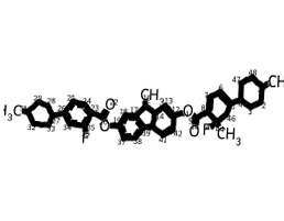 CC1CCC(C2=CC=C(C(=O)OC3=CC4C(C)c5cc(OC(=O)c6ccc(C7CCC(C)CC7)cc6F)ccc5C4C=C3)C(C)(F)C2)CC1